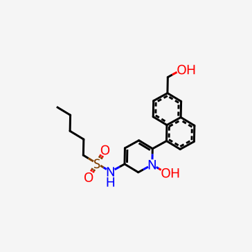 CCCCCS(=O)(=O)NC1=CC=C(c2cccc3cc(CO)ccc23)N(O)C1